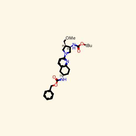 COC[C@@H]1CN(c2ccc3c(n2)CC[C@H](NC(=O)OCc2ccccc2)C3)C[C@@H]1NC(=O)OC(C)(C)C